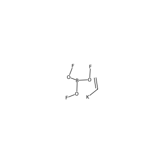 C=[CH][K].FOB(OF)OF